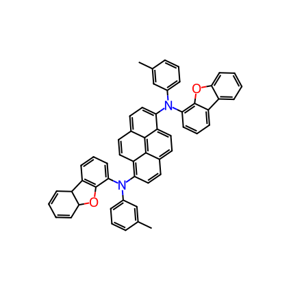 Cc1cccc(N(c2cccc3c2OC2C=CC=CC32)c2ccc3ccc4c(N(c5cccc(C)c5)c5cccc6c5oc5ccccc56)ccc5ccc2c3c54)c1